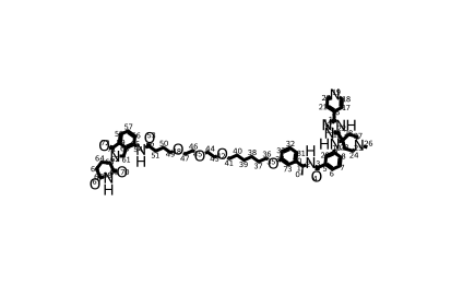 C[C@H](NC(=O)c1cccc(NC2(c3nnc(-c4ccncc4)[nH]3)CCN(C)CC2)c1)c1cccc(OCCCCCCOCCOCCOCCCC(=O)Nc2cccc3c2CN(C2CCC(=O)NC2=O)C3=O)c1